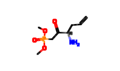 C=CC[C@H](N)C(=O)CP(=O)(OC)OC